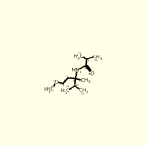 COCCC(C)(NC(=O)C(C)C)C(C)C